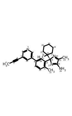 CC#Cc1cncc(-c2ccc(C)c([C@]3(C4(C)CCCCC4)N=C(C)C(N)=N3)c2)c1